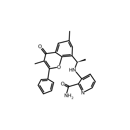 Cc1cc([C@@H](C)Nc2cccnc2C(N)=O)c2oc(-c3ccccc3)c(C)c(=O)c2c1